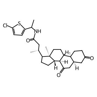 CC(NC(=O)C[C@@H](C)C1CC[C@H]2[C@@H]3C(=O)C[C@@H]4CC(=O)CC[C@]4(C)[C@H]3CC[C@]12C)c1ccc(Cl)s1